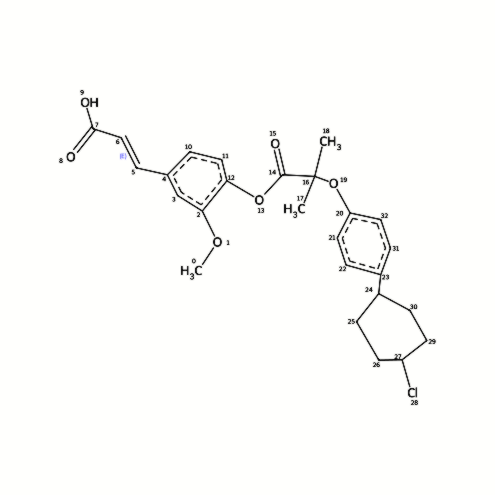 COc1cc(/C=C/C(=O)O)ccc1OC(=O)C(C)(C)Oc1ccc(C2CCC(Cl)CC2)cc1